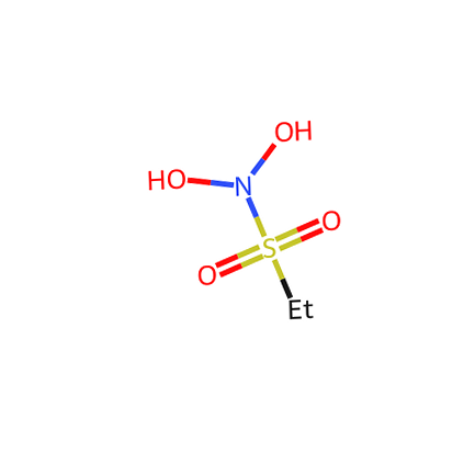 CCS(=O)(=O)N(O)O